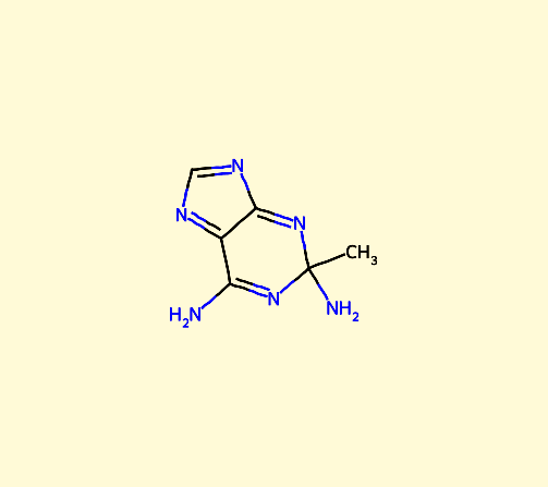 CC1(N)N=C(N)C2=NC=NC2=N1